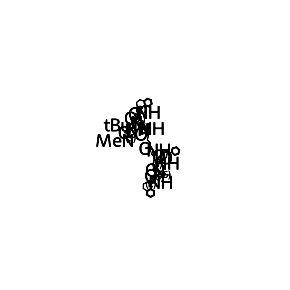 CN[C@@H](C)C(=O)N[C@H](C(=O)N1C[C@@H](NC(=O)CCCC(=O)NCCC[C@H](NC(=O)OCc2ccccc2)C(=O)N2C[C@@H](C)C[C@H]2C(=O)N[C@@H]2CCCc3ccccc32)C[C@H]1C(=O)N[C@@H]1CCCc2ccccc21)C(C)(C)C